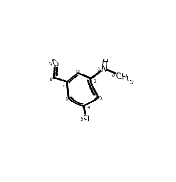 CNc1cc(Cl)cc(C=O)c1